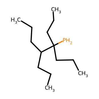 CCCC(CCC)C(P)(CCC)CCC